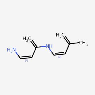 C=C(C)/C=C\NC(=C)/C=C\N